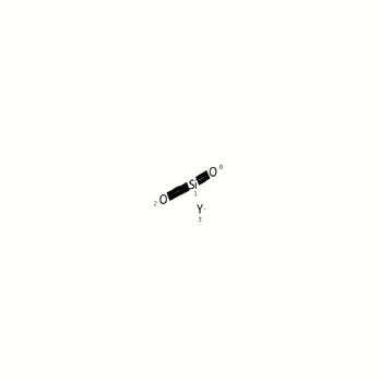 O=[Si]=O.[Y]